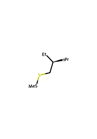 CCC[C@H](CC)CSSC